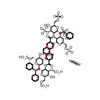 O=C(c1ccc(-c2ccc(C(=O)N([C@@H]3[C@@H](OCc4ccccc4)O[C@H](COS(=O)(=O)O)[C@@H](O)[C@@H]3OS(=O)(=O)O)[C@@H]3[C@@H](OCc4ccccc4)O[C@H](COS(=O)(=O)O)[C@@H](O)[C@@H]3OS(=O)(=O)O)cc2)cc1)N([C@@H]1[C@@H](OCc2ccccc2)O[C@H](COS(=O)(=O)[O-])[C@@H](O)[C@@H]1OS(=O)(=O)[O-])[C@@H]1[C@@H](OCc2ccccc2)O[C@H](COS(=O)(=O)[O-])[C@@H](O)[C@@H]1OS(=O)(=O)[O-].[Na+].[Na+].[Na+].[Na+]